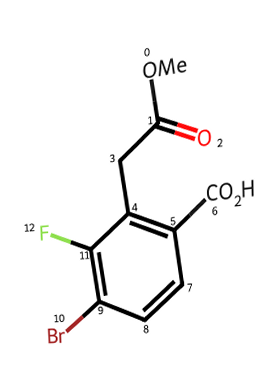 COC(=O)Cc1c(C(=O)O)ccc(Br)c1F